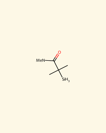 CNC(=O)C(C)(C)[SiH3]